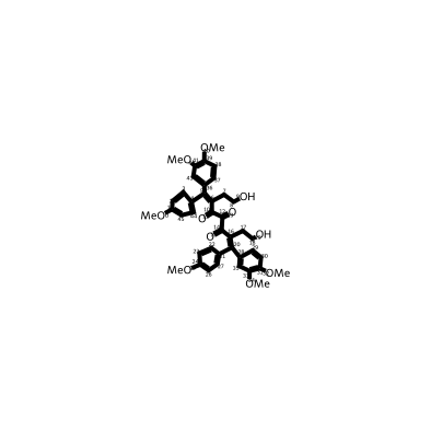 COc1ccc(C(=C(CCO)C(=O)C(=O)C(=O)C(CCO)=C(c2ccc(OC)cc2)c2ccc(OC)c(OC)c2)c2ccc(OC)c(OC)c2)cc1